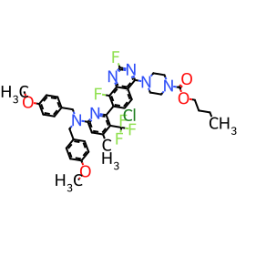 CCCCOC(=O)N1CCN(c2nc(F)nc3c(F)c(-c4nc(N(Cc5ccc(OC)cc5)Cc5ccc(OC)cc5)cc(C)c4C(F)(F)F)c(Cl)cc23)CC1